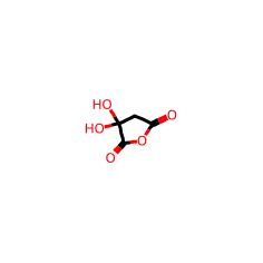 O=C1CC(O)(O)C(=O)O1